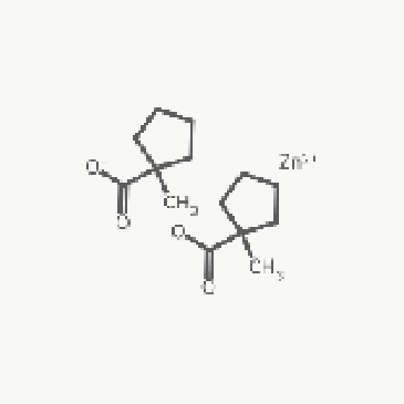 CC1(C(=O)[O-])CCCC1.CC1(C(=O)[O-])CCCC1.[Zn+2]